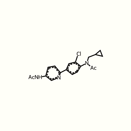 CC(=O)Nc1ccc(-c2ccc(N(CC3CC3)C(C)=O)c(Cl)c2)nc1